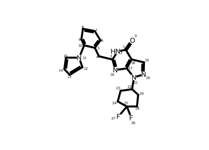 O=c1[nH]c(Cc2ccccc2-n2cccc2)nc2c1cnn2C1CCC(F)(F)CC1